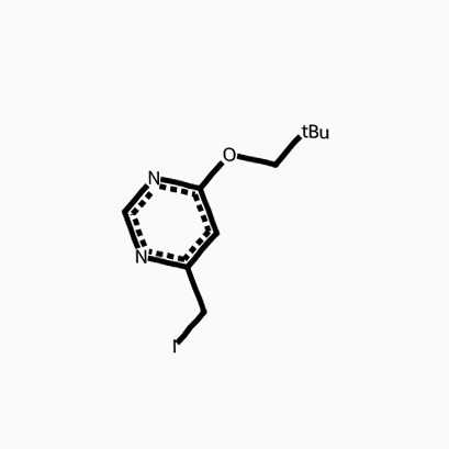 CC(C)(C)COc1cc(CI)ncn1